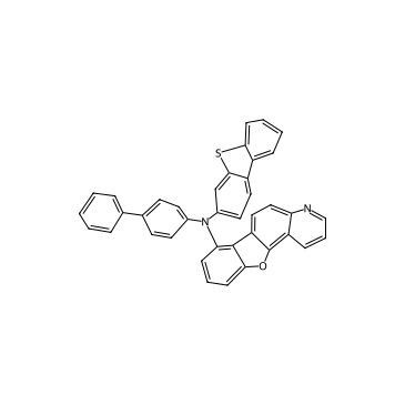 c1ccc(-c2ccc(N(c3ccc4c(c3)sc3ccccc34)c3cccc4oc5c6cccnc6ccc5c34)cc2)cc1